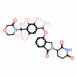 Bc1cc(C(B)Oc2cccc3c2CN(C2CCC(=O)NC2=O)C3=O)c(B)c(B)c1C(B)(B)N1CCOCC1=O